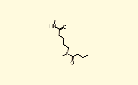 CCCC(=O)N(C)CCCCC(=O)NC